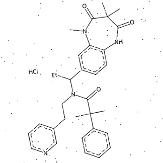 CCC(c1ccc2c(c1)N(C)C(=O)C(C)(C)C(=O)N2)N(CCc1cccnc1)C(=O)C(C)(C)c1ccccc1.Cl